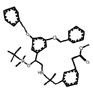 COC(=O)Cc1cccc(CC(C)(C)NCC(O[Si](C)(C)C(C)(C)C)c2cc(OCc3ccccc3)cc(OCc3ccccc3)c2)c1